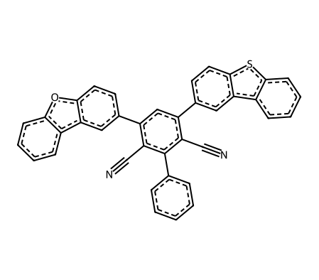 N#Cc1c(-c2ccc3oc4ccccc4c3c2)cc(-c2ccc3sc4ccccc4c3c2)c(C#N)c1-c1ccccc1